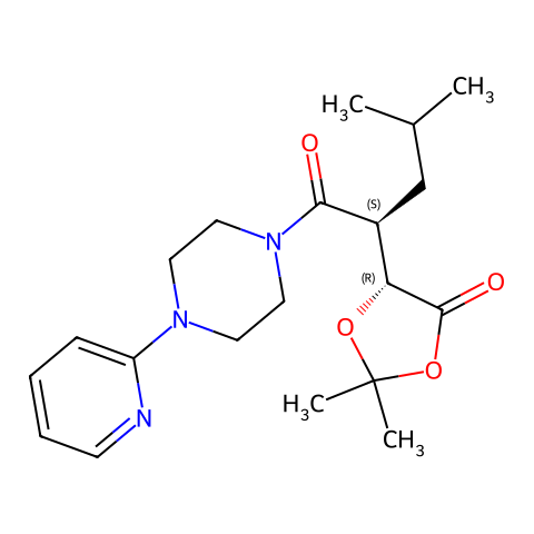 CC(C)C[C@H](C(=O)N1CCN(c2ccccn2)CC1)[C@H]1OC(C)(C)OC1=O